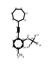 Cc1ccc(C#CC2CCCCCC2)c(SC(F)(F)F)c1